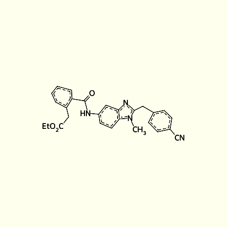 CCOC(=O)Cc1ccccc1C(=O)Nc1ccc2c(c1)nc(Cc1ccc(C#N)cc1)n2C